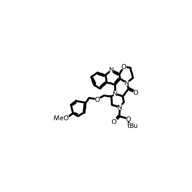 COc1ccc(COCC2CN(C(=O)OC(C)(C)C)CC3C(=O)N4CCOc5nc6ccccc6c(c54)N23)cc1